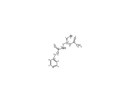 CC(=O)O[C@H](CBr)CNC(=O)OCc1ccccc1